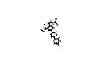 COC(=O)c1cc(-c2ccc(N3CCN(C)CC3)nc2)cc2c1ccn2C(C)C